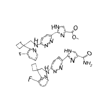 COC(=O)c1c[nH]c(-c2ccc(NCC3(c4ncccc4F)CCC3)nn2)n1.NC(=O)c1c[nH]c(-c2ccc(NCC3(c4ncccc4F)CCC3)nn2)n1